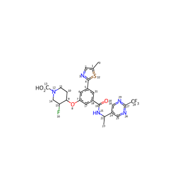 Cc1cnc(-c2cc(OC3CCN(C(=O)O)CC3F)cc(C(=O)NC(C)c3cnc(C(F)(F)F)nc3)c2)s1